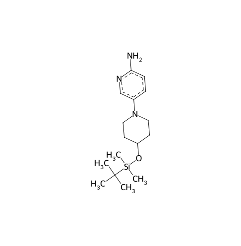 CC(C)(C)[Si](C)(C)OC1CCN(c2ccc(N)nc2)CC1